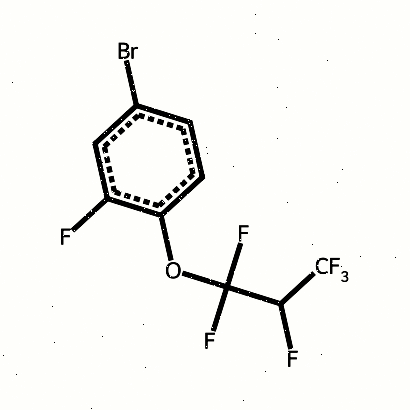 Fc1cc(Br)ccc1OC(F)(F)C(F)C(F)(F)F